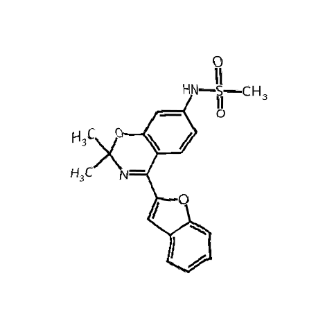 CC1(C)N=C(c2cc3ccccc3o2)c2ccc(NS(C)(=O)=O)cc2O1